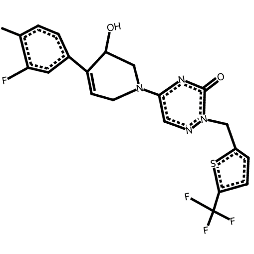 Cc1ccc(C2=CCN(c3cnn(Cc4ccc(C(F)(F)F)s4)c(=O)n3)CC2O)cc1F